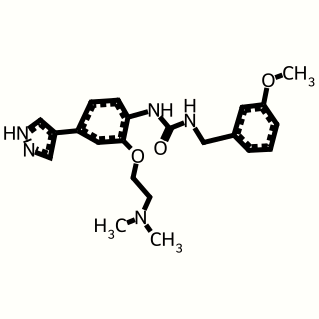 COc1cccc(CNC(=O)Nc2ccc(-c3cn[nH]c3)cc2OCCN(C)C)c1